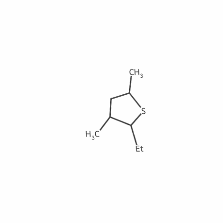 CCC1SC(C)CC1C